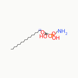 CCCCCCCCCCCCCCCC/C=C\OC[C@@H](O)COP(O)OCCN